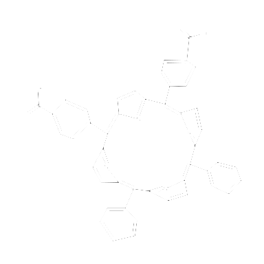 O=C(O)c1ccc(C2=C3C=CC(=N3)C(c3ccc(C(=O)O)cc3)=C3C=CC(=N3)C(c3ccccc3)=C3C=CC(=N3)C(c3ccccc3)=C3C=CC2=N3)cc1